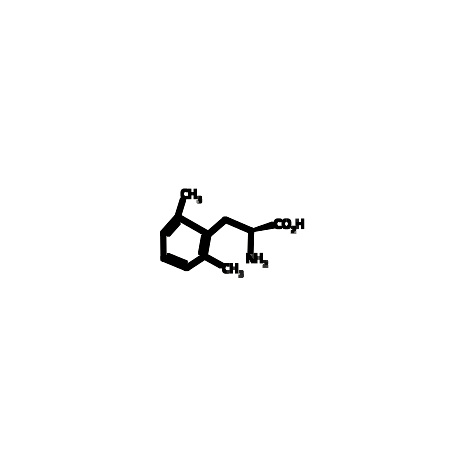 Cc1cccc(C)c1C[C@H](N)C(=O)O